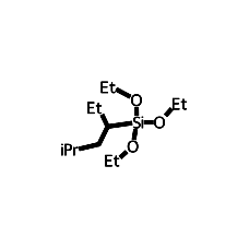 CCO[Si](OCC)(OCC)C(CC)CC(C)C